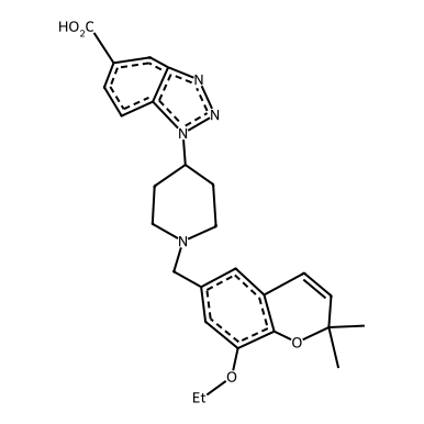 CCOc1cc(CN2CCC(n3nnc4cc(C(=O)O)ccc43)CC2)cc2c1OC(C)(C)C=C2